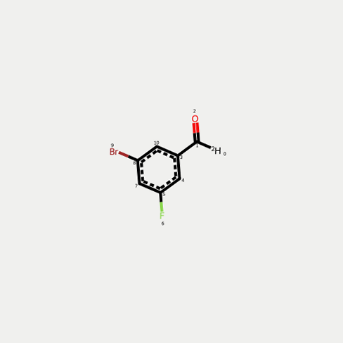 [2H]C(=O)c1cc(F)cc(Br)c1